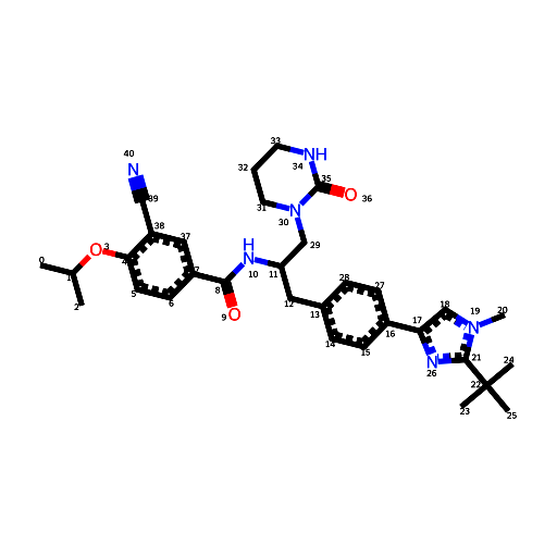 CC(C)Oc1ccc(C(=O)NC(Cc2ccc(-c3cn(C)c(C(C)(C)C)n3)cc2)CN2CCCNC2=O)cc1C#N